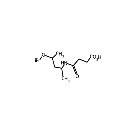 CC(CC(C)OC(C)C)NC(=O)CCC(=O)O